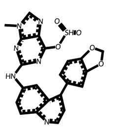 Cn1cnc2c(O[SH](=O)=O)nc(Nc3ccc4nccc(-c5ccc6c(c5)OCO6)c4c3)nc21